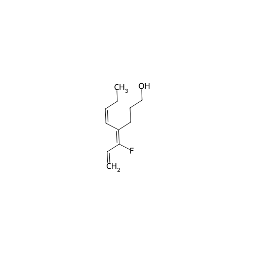 C=C/C(F)=C(\C=C/CC)CCCO